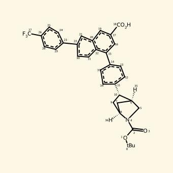 CC(C)(C)OC(=O)N1C[C@H]2C[C@@H]1C[C@@H]2c1ccc(-c2cc(C(=O)O)cc3cc(-c4ccc(C(F)(F)F)cc4)ccc23)cc1